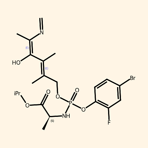 C=N/C(C)=C(O)\C(C)=C(/C)COP(=O)(N[C@@H](C)C(=O)OC(C)C)Oc1ccc(Br)cc1F